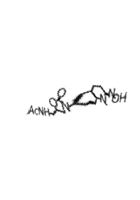 CC(=O)NCC1CN(c2ccc3c(c2)CCC(=NO)N3C)C(=O)O1